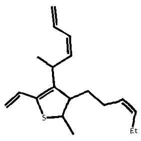 C=C/C=C\C(C)C1=C(C=C)SC(C)C1CC/C=C\CC